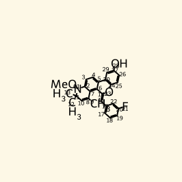 CON1c2ccc3c(c2C(C)=CC1(C)C)C(=Cc1cccc(F)c1)Oc1ccc(O)cc1-3